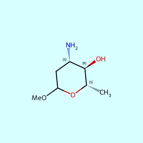 COC1C[C@H](N)[C@@H](O)[C@H](C)O1